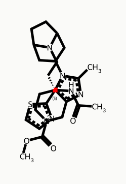 COC(=O)N1CCc2c(nc(C)n2C2CC3CCC(C2)N3CC[C@H](NC(C)=O)c2nccs2)C1